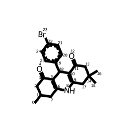 CC1CC(=O)C2=C(C1)NC1=C(C(=O)CC(C)(C)C1)C2c1ccc(Br)cc1